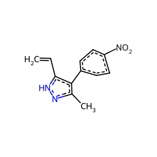 C=Cc1[nH]nc(C)c1-c1ccc([N+](=O)[O-])cc1